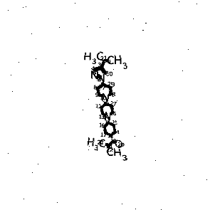 CC(C)c1cnn(C2CCN(C3CCN([C@H]4CC[C@@H](C(=O)C(C)C)CC4)CC3)CC2)c1